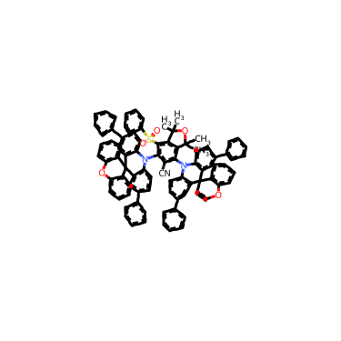 CC1(C)OC(C)(C)c2c1c(N1c3ccc(-c4ccccc4)cc3C3(c4ccccc4Oc4ccccc43)c3cc(-c4ccccc4)ccc31)c(C#N)c(N1c3ccc(-c4ccccc4)cc3C3(c4ccccc4Oc4ccccc43)c3cc(-c4ccccc4)ccc31)c2S(=O)(=O)c1ccccc1